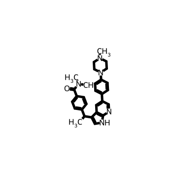 CC(c1ccc(C(=O)N(C)C)cc1)c1c[nH]c2ncc(-c3ccc(N4CCN(C)CC4)cc3)cc12